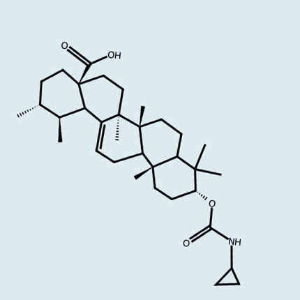 C[C@@H]1CC[C@]2(C(=O)O)CC[C@]3(C)C(=CCC4[C@@]5(C)CC[C@@H](OC(=O)NC6CC6)C(C)(C)C5CC[C@]43C)C2[C@H]1C